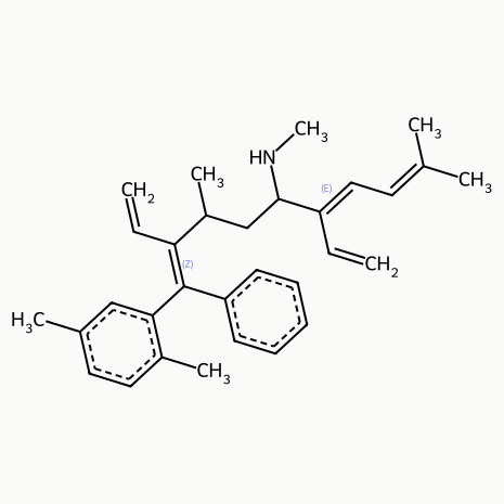 C=C/C(=C(/c1ccccc1)c1cc(C)ccc1C)C(C)CC(NC)/C(C=C)=C/C=C(C)C